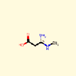 CN[C@@H](N)CC(=O)O